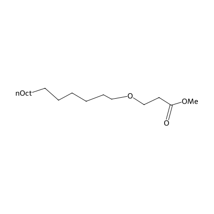 CCCCCCCCCCCCCCOCCC(=O)OC